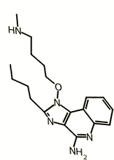 CCCCc1nc2c(N)nc3ccccc3c2n1OCCCCNC